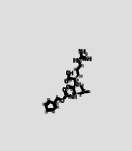 CC(C)C[C@H](NC(=O)OCc1ccccc1)C(=O)N[C@@H](CCCNC(=N)N)C(=O)O